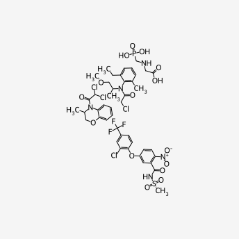 CC1COc2ccccc2N1C(=O)C(Cl)Cl.CCc1cccc(C)c1N(C(=O)CCl)C(C)COC.CS(=O)(=O)NC(=O)c1cc(Oc2ccc(C(F)(F)F)cc2Cl)ccc1[N+](=O)[O-].O=C(O)CNCP(=O)(O)O